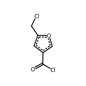 O=C(Cl)c1coc(CCl)c1